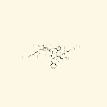 COCCNC(=O)N[C@H](C(=O)N[C@@H](Cc1ccccc1)[C@@H](O)CN(Cc1cccs1)NC(=O)[C@@H](NC(=O)NCCOC)C(C)C)C(C)C